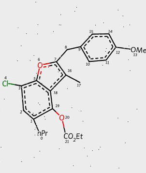 CCCc1cc(Cl)c2oc(Cc3ccc(OC)cc3)c(C)c2c1OC(=O)OCC